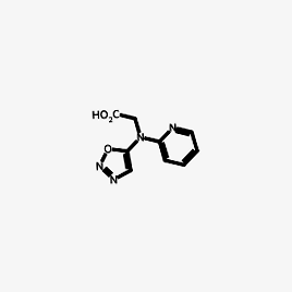 O=C(O)CN(c1ccccn1)c1cnno1